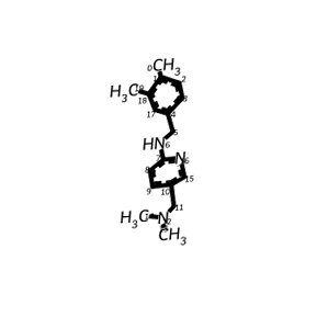 Cc1ccc(CNc2ccc(CN(C)C)cn2)cc1C